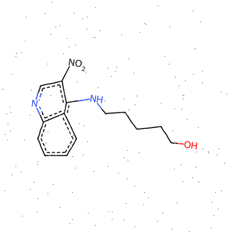 O=[N+]([O-])c1cnc2ccccc2c1NCCCCCO